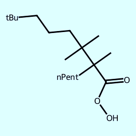 CCCCCC(C)(C(=O)OO)C(C)(C)CCCC(C)(C)C